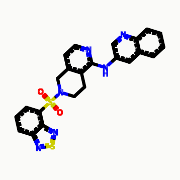 O=S(=O)(c1cccc2nsnc12)N1CCc2c(ccnc2Nc2cnc3ccccc3c2)C1